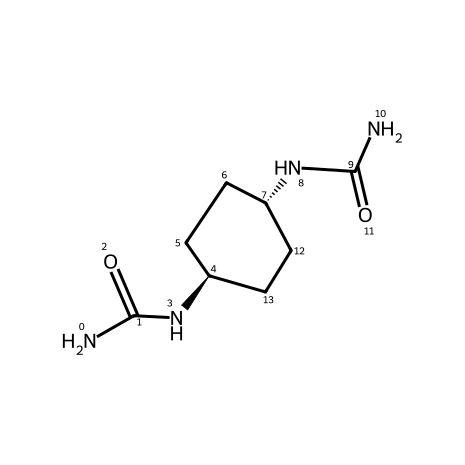 NC(=O)N[C@H]1CC[C@H](NC(N)=O)CC1